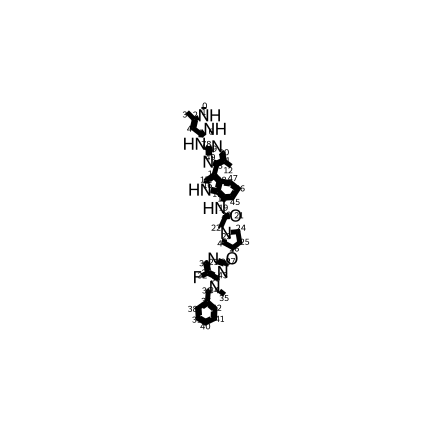 CN/C(C)=C\C(=N)Nc1ncc(C)c(-c2c[nH]c3c(NC(=O)CN4CC[C@H](Oc5ncc(F)c(N(C)Cc6ccccc6)n5)C4)cccc23)n1